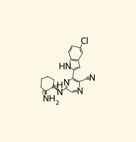 N#Cc1ncc(N[C@@H]2CCCC[C@@H]2N)nc1-c1cc2cc(Cl)ccc2[nH]1